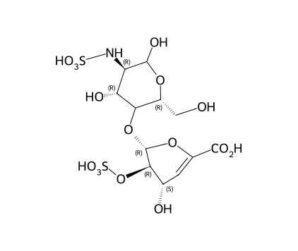 O=C(O)C1=C[C@H](O)[C@@H](OS(=O)(=O)O)[C@H](OC2[C@@H](CO)OC(O)[C@H](NS(=O)(=O)O)[C@H]2O)O1